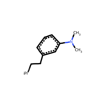 CC(C)CCc1cccc(N(C)C)c1